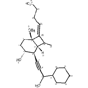 CO[C@]12CC[C@@H](O)[C@H](C#CC(O)C3CCCCC3)[C@H]1C(C)/C2=C/CCC(=O)O